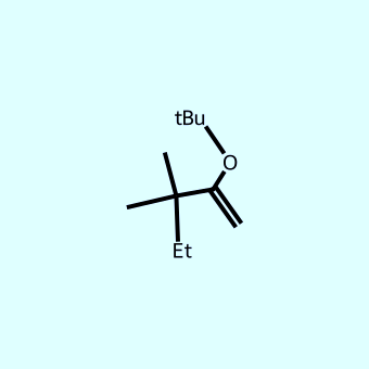 C=C(OC(C)(C)C)C(C)(C)CC